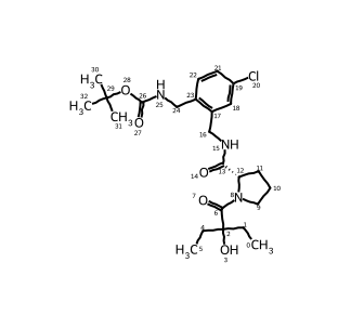 CCC(O)(CC)C(=O)N1CCC[C@H]1C(=O)NCc1cc(Cl)ccc1CNC(=O)OC(C)(C)C